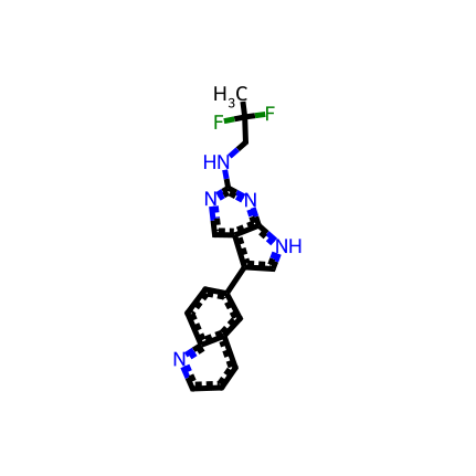 CC(F)(F)CNc1ncc2c(-c3ccc4ncccc4c3)c[nH]c2n1